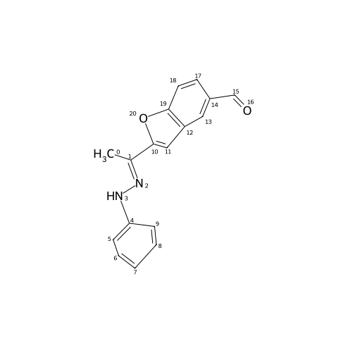 CC(=NNc1ccccc1)c1cc2cc(C=O)ccc2o1